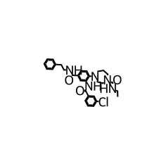 CCNC(=O)N1CCCN(c2ccc(C(=O)NCCc3ccccc3)cc2NC(=O)c2cccc(Cl)c2)CC1